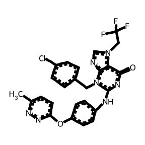 Cc1ccc(Oc2ccc(Nc3nc(=O)c4c(ncn4CC(F)(F)F)n3Cc3ccc(Cl)cc3)cc2)nn1